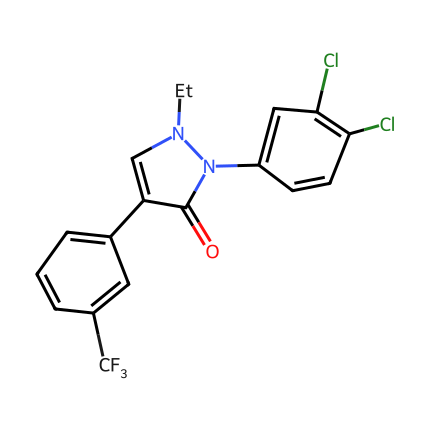 CCn1cc(-c2cccc(C(F)(F)F)c2)c(=O)n1-c1ccc(Cl)c(Cl)c1